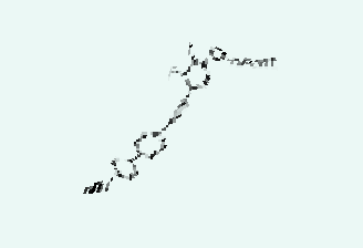 CCCCCOc1ccc(C#Cc2ccc(-c3ccc(CCCC)cc3)cc2)c(F)c1F